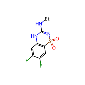 CCNC1=NS(=O)(=O)c2cc(F)c(F)cc2N1